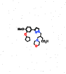 COc1ccc(-c2ccn(CC(CC(=O)O)CN3CCOCC3)n2)cc1OC1CCCC1